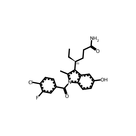 CC[C@@H](CCC(N)=O)c1c(C)n(C(=O)c2ccc(Cl)c(F)c2)c2ccc(O)cc12